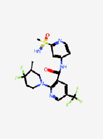 C[C@H]1CN(c2ncc(C(F)(F)F)cc2C(=O)Nc2ccnc([S@](C)(=N)=O)c2)CCC1(F)F